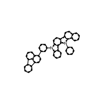 c1ccc(-n2c3c4ccccc4ccc3c3ccc4c(c5ccccc5n4-c4cccc(-c5ccc6c7c(cccc57)-c5ccccc5-6)c4)c32)cc1